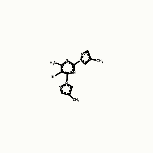 Cc1cnn(-c2nc(N)c(Br)c(-n3cc(C)cn3)n2)c1